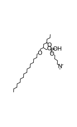 CCCCCCCCCCCCCCCCOCC(COP(O)OCCCCN(C)C)CC(=O)CCC